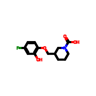 O=C(O)N1CCCC(COc2ccc(F)cc2O)C1